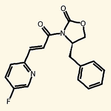 O=C(/C=C/c1ccc(F)cn1)N1C(=O)OC[C@H]1Cc1ccccc1